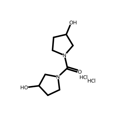 Cl.Cl.O=C(N1CCC(O)C1)N1CCC(O)C1